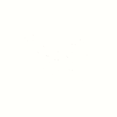 CC1(C)c2ccccc2-c2ccc(N(c3ccc(-c4ccccc4)cc3)c3ccc4c(c3)c3c(n4-c4ccc(-c5ccccc5)cc4)-c4ccccc4C3(C)C)cc21